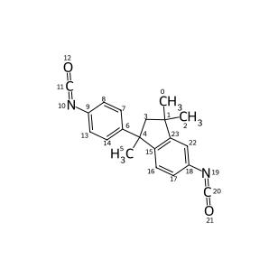 CC1(C)CC(C)(c2ccc(N=C=O)cc2)c2ccc(N=C=O)cc21